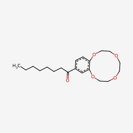 CCCCCCCC(=O)c1ccc2c(c1)OCCOCCOCCO2